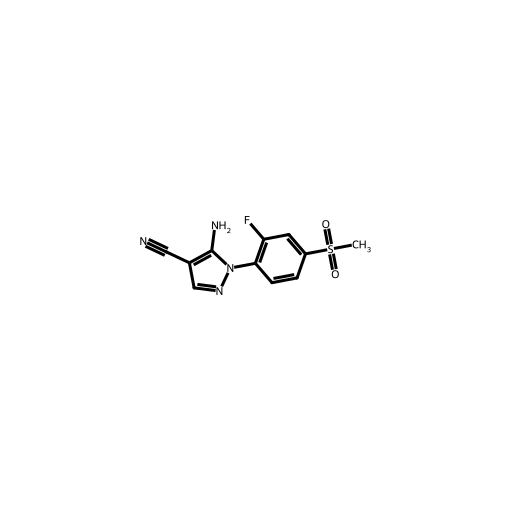 CS(=O)(=O)c1ccc(-n2ncc(C#N)c2N)c(F)c1